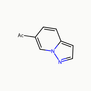 CC(=O)c1ccc2ccnn2c1